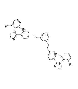 CC(C)c1cccc(C(C)C)c1-n1ccnc1-c1ccc(CCc2cccc(CCc3ccc(-c4nccn4-c4c(C(C)C)cccc4C(C)C)cc3)c2)cc1